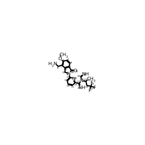 COc1ccc2c(c1CN)CN(c1cccc(C(=N)N(C=N)C(C)CC(F)(F)F)n1)C2=O